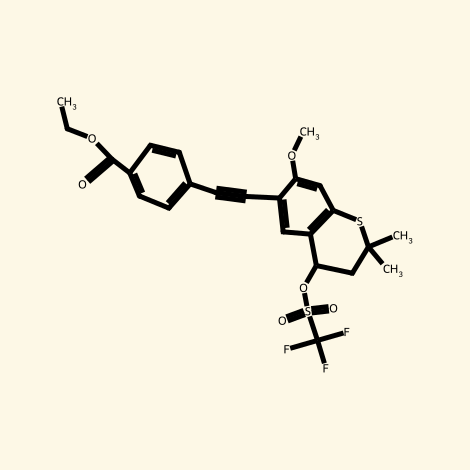 CCOC(=O)c1ccc(C#Cc2cc3c(cc2OC)SC(C)(C)CC3OS(=O)(=O)C(F)(F)F)cc1